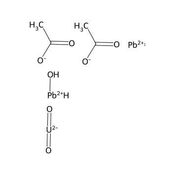 CC(=O)[O-].CC(=O)[O-].[OH][PbH+2].[O]=[U-2]=[O].[Pb+2]